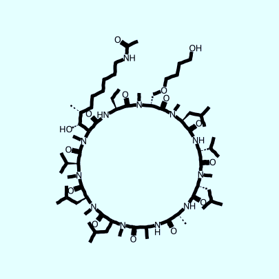 CC[C@@H]1NC(=O)C([C@H](O)[C@H](C)CCCCCCNC(C)=O)N(C)C(=O)[C@H](C(C)C)N(C)C(=O)[C@H](CC(C)C)N(C)C(=O)C(CC(C)C)N(C)C(=O)C(C)NC(=O)[C@@H](C)NC(=O)[C@@H](CC(C)C)N(C)C(=O)[C@@H](C(C)C)NC(=O)[C@H](CC(C)C)N(C)C(=O)[C@@H](COCCCCO)N(C)C1=O